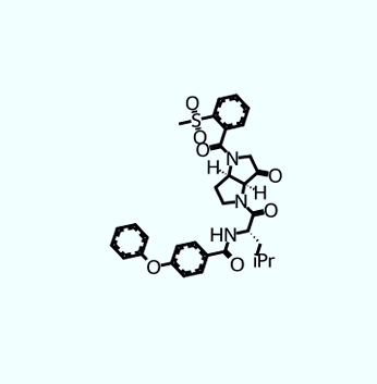 CC(C)C[C@H](NC(=O)c1ccc(Oc2ccccc2)cc1)C(=O)N1CC[C@@H]2[C@H]1C(=O)CN2C(=O)c1ccccc1S(C)(=O)=O